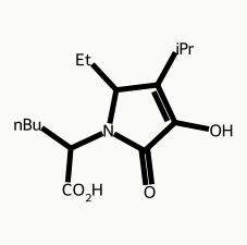 CCCCC(C(=O)O)N1C(=O)C(O)=C(C(C)C)C1CC